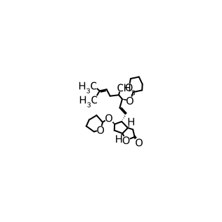 CC(C)=CCC(C)[C@H](/C=C/[C@@H]1[C@H]2CC(=O)O[C@H]2C[C@H]1OC1CCCCO1)OC1CCCCO1